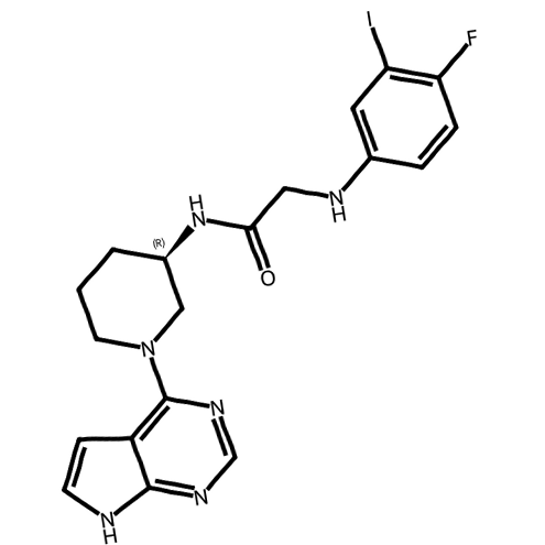 O=C(CNc1ccc(F)c(I)c1)N[C@@H]1CCCN(c2ncnc3[nH]ccc23)C1